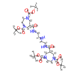 CC(C)(C)OC(=O)N1CCN(C(=O)OC(C)(C)C)CC(C(=O)NCCNCCNC(=O)C2CN(C(=O)OC(C)(C)C)CCN(C(=O)OC(C)(C)C)C2)C1